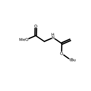 C=C(NCC(=O)OC)OC(C)(C)C